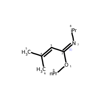 CCCO/C(C=C(C)C)=N/C(C)C